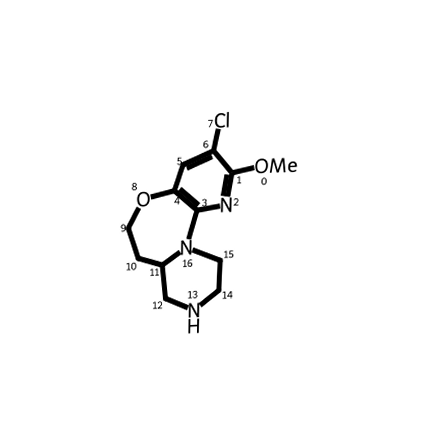 COc1nc2c(cc1Cl)OCCC1CNCCN21